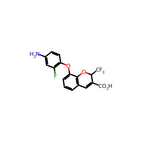 Nc1ccc(Oc2cccc3c2OC(C(F)(F)F)C(C(=O)O)=C3)c(F)c1